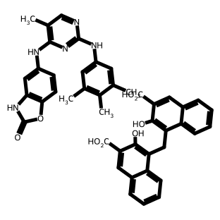 Cc1cnc(Nc2cc(C)c(C)c(C)c2)nc1Nc1ccc2oc(=O)[nH]c2c1.O=C(O)c1cc2ccccc2c(Cc2c(O)c(C(=O)O)cc3ccccc23)c1O